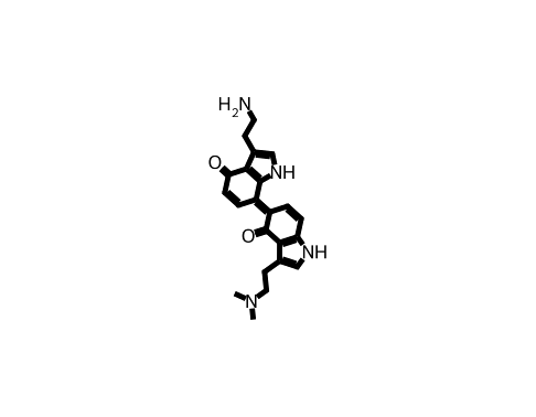 CN(C)CCc1c[nH]c2c1C(=O)C(=C1C=CC(=O)c3c(CCN)c[nH]c31)C=C2